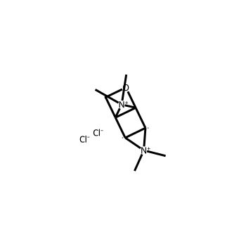 C[N+]1(C)[C]2[C]1C13OCC21[N+]3(C)C.[Cl-].[Cl-]